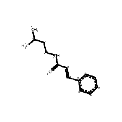 CC(C)CCNC(=O)C=Cc1ccccc1